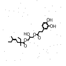 CCC(C)=CCC(C)(CC)C(=O)OCC(O)COC(=O)CCc1ccc(O)c(O)c1